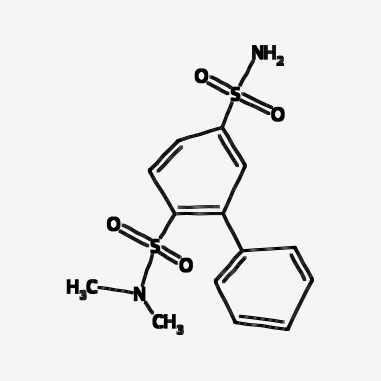 CN(C)S(=O)(=O)c1ccc(S(N)(=O)=O)cc1-c1ccccc1